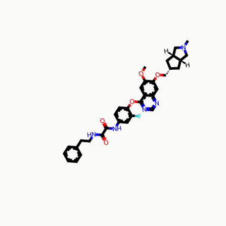 COc1cc2c(Oc3ccc(NC(=O)C(=O)NCCc4ccccc4)cc3F)ncnc2cc1OC[C@@H]1C[C@@H]2CN(C)C[C@@H]2C1